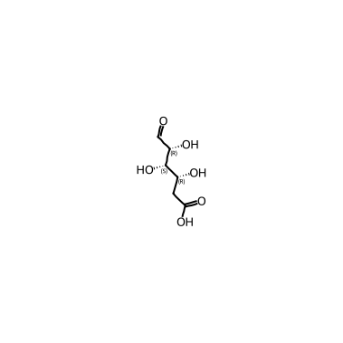 O=C[C@H](O)[C@@H](O)[C@H](O)CC(=O)O